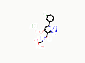 Cl.O=C(O)CNC(=O)c1c(O)cc(-c2cccc(F)c2)n2ncnc12